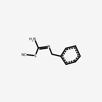 N#CSC(N)=NCc1ccccc1